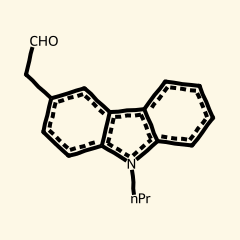 CCCn1c2ccccc2c2cc(CC=O)ccc21